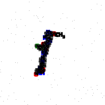 CCOc1cc(-c2ccc(N3CCC(COCc4cn(CCN5CCN(c6ccc7c(c6)CN(C6CCC(=O)NC6=O)C7=O)CC5)nn4)(NC(=O)c4cc(F)ccc4F)CC3)nc2)c2c(C#N)cnn2c1